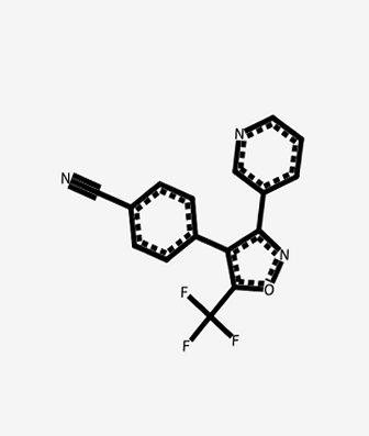 N#Cc1ccc(-c2c(-c3cccnc3)noc2C(F)(F)F)cc1